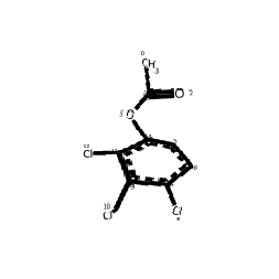 CC(=O)Oc1ccc(Cl)c(Cl)c1Cl